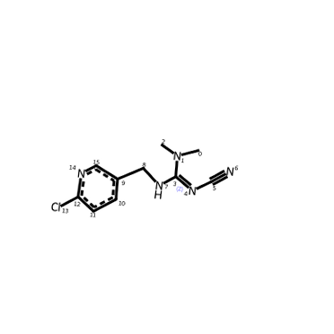 CN(C)/C(=N\C#N)NCc1ccc(Cl)nc1